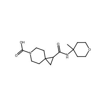 CC1(NC(=O)C2CC23CCN(C(=O)O)CC3)CCOCC1